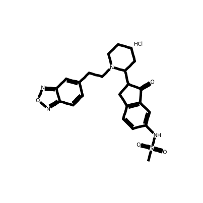 CS(=O)(=O)Nc1ccc2c(c1)C(=O)C(C1CCCCN1CCc1ccc3nonc3c1)C2.Cl